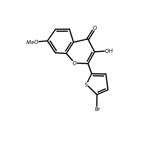 COc1ccc2c(=O)c(O)c(-c3ccc(Br)s3)oc2c1